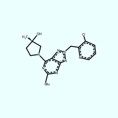 CC(C)(C)c1nc(N2CC[C@](C)(O)C2)c2nn(Cc3ncccc3Cl)nc2n1